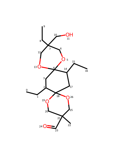 CCC1CC2(OCC(CC)(CO)CO2)C(CC)CC12OCC(C)(C=O)CO2